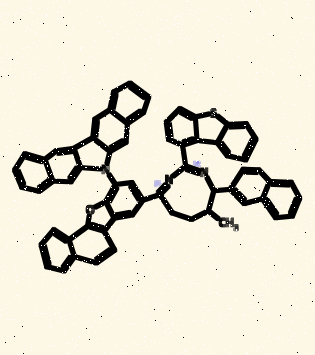 CC1CC/C(c2cc(-n3c4cc5ccccc5cc4c4cc5ccccc5cc43)c3oc4c5ccccc5ccc4c3c2)=N\C(c2cccc3sc4ccccc4c23)=N/C1c1ccc2ccccc2c1